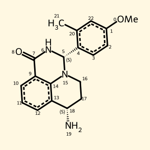 COc1ccc([C@H]2NC(=O)c3cccc4c3N2CC[C@@H]4N)c(C)c1